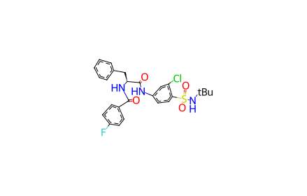 CC(C)(C)NS(=O)(=O)c1ccc(NC(=O)[C@H](Cc2ccccc2)NC(=O)c2ccc(F)cc2)cc1Cl